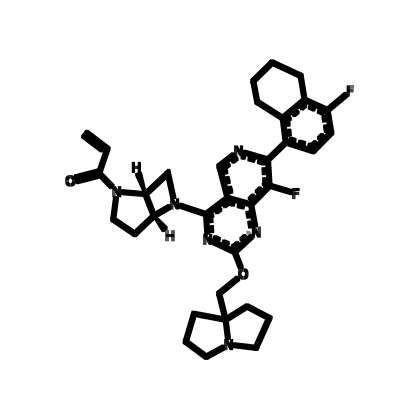 C=CC(=O)N1CC[C@@H]2[C@H]1CN2c1nc(OCC23CCCN2CCC3)nc2c(F)c(-c3ccc(F)c4c3CCCC4)ncc12